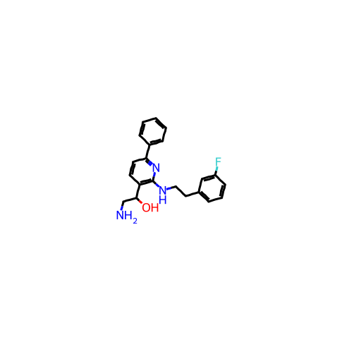 NCC(O)c1ccc(-c2ccccc2)nc1NCCc1cccc(F)c1